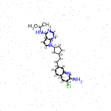 CC(C)Nc1ncnc2c1ccn2C1CCC(CCc2ccc3cc(Cl)c(N)nc3c2)C1